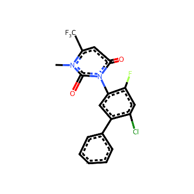 Cn1c(C(F)(F)F)cc(=O)n(-c2cc(-c3cc[c]cc3)c(Cl)cc2F)c1=O